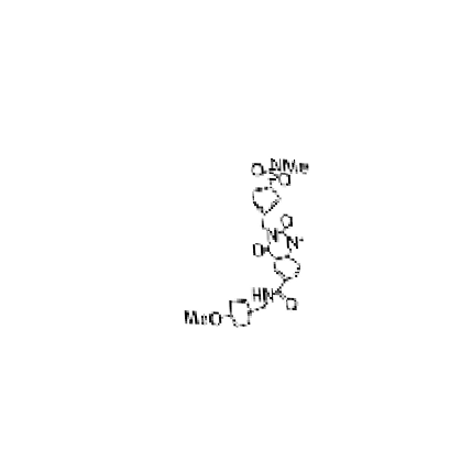 CNS(=O)(=O)c1ccc(Cn2c(=O)c3cc(C(=O)NCc4ccc(OC)cc4)ccc3n(C)c2=O)cc1